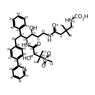 CC(C)(CNC(=O)O)CC(=O)NCC[C@H](O)[C@@H](NC(=O)[C@@H](O)C(C)(C)S(C)(=O)=O)C(Cc1ccc(-c2ccccn2)cc1)c1ccccc1